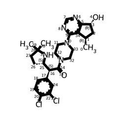 C[C@@H]1C[C@@H](O)c2ncnc(N3CCN(C(=O)[C@@H](c4ccc(Cl)c(Cl)c4)[C@@H]4CCC(C)(C)N4)CC3)c21